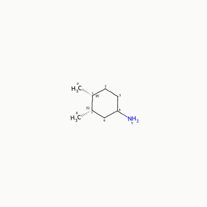 C[C@@H]1CCC(N)C[C@@H]1C